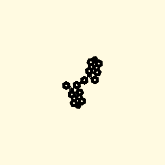 c1ccc(N(c2ccc(-c3ccc(N(c4ccccc4)c4ccc5c(c4)C4(c6ccccc6-c6ccccc64)c4c-5ccc5ccccc45)cc3)cc2)c2ccc3c(c2)C2(c4ccccc4-c4ccccc42)c2c-3ccc3ccccc23)cc1